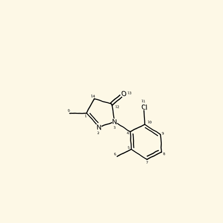 CC1=NN(c2c(C)cccc2Cl)C(=O)C1